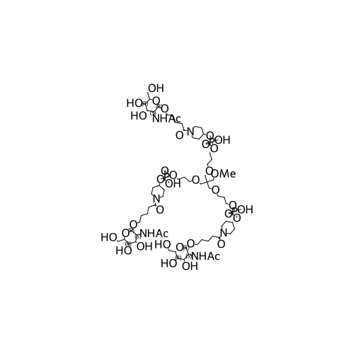 COCC(COCCCOP(=O)(O)OC1CCN(C(=O)CCCCO[C@@H]2OC(CO)[C@H](O)C(O)[C@@H]2NC(C)=O)CC1)(COCCCOP(=O)(O)OC1CCN(C(=O)CCCCO[C@@H]2OC(CO)[C@H](O)C(O)[C@@H]2NC(C)=O)CC1)COCCCOP(=O)(O)OC1CCN(C(=O)CCCCO[C@@H]2OC(CO)[C@H](O)C(O)[C@@H]2NC(C)=O)CC1